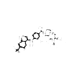 CCN(CC)N(N)NN1CCN(C(=O)c2ccc(Nc3ccnc4cc(C(F)(F)F)ccc34)cc2)CC1